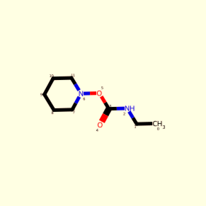 CCNC(=O)ON1[CH]CCCC1